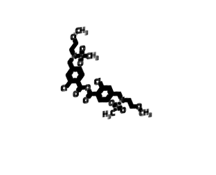 COCCN(Cc1ccc(C(=O)OC(=O)c2ccc(CN(CCOC)S(C)(=O)=O)cc2Cl)c(Cl)c1)S(C)(=O)=O